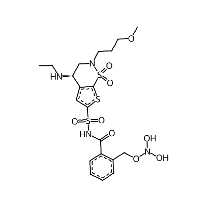 CCN[C@H]1CN(CCCOC)S(=O)(=O)c2sc(S(=O)(=O)NC(=O)c3ccccc3CON(O)O)cc21